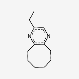 CCc1cnc2c(n1)CCCCCC2